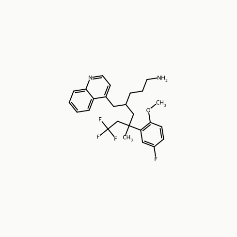 COc1ccc(F)cc1C(C)(CC(CCCN)Cc1ccnc2ccccc12)CC(F)(F)F